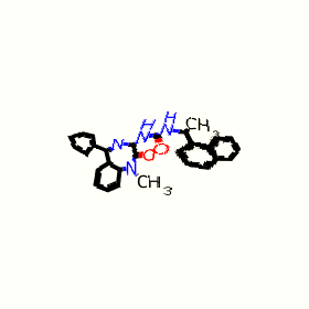 CC(NC(=O)NC1N=C(c2ccccc2)C2C=CC=CC2N(C)C1=O)c1cccc2ccccc12